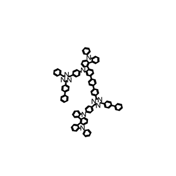 c1ccc(-c2ccc(-c3nc(-c4ccc(-c5ccc(-c6ccc7c8c9c%10ccccc%10n(-c%10ccccc%10)c9ccc8n(-c8ccc(-c9nc(-c%10ccccc%10)nc(-c%10ccc(-c%11ccccc%11)cc%10)n9)cc8)c7c6)cc5)cc4)nc(-c4ccc(-n5c6ccccc6c6c7c8ccccc8n(-c8ccccc8)c7ccc65)cc4)n3)cc2)cc1